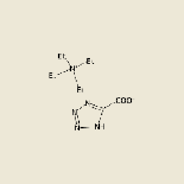 CC[N+](CC)(CC)CC.O=C([O-])c1nnn[nH]1